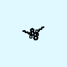 CCCCCOC(=O)C(C1CCCCC1)C(C(=O)OCCCCC)C1CCCC1